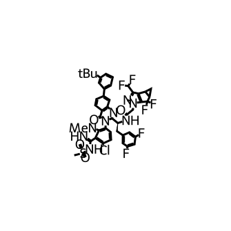 CNc1c(-n2c([C@H](Cc3cc(F)cc(F)c3)NC(=O)Cn3nc(C(F)F)c4c3C(F)(F)C3CC43)nc3cc(-c4cccc(C(C)(C)C)c4)ccc3c2=O)ccc(Cl)c1C(=N)NS(C)(=O)=O